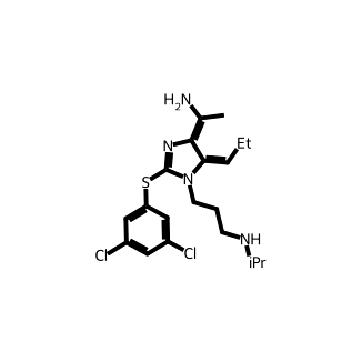 CC/C=c1\c(=C(/C)N)nc(Sc2cc(Cl)cc(Cl)c2)n1CCCNC(C)C